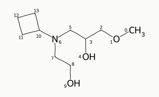 COCC(O)CN(CCO)C1CCC1